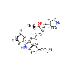 CCOC(=O)c1ccc2[nH]c(-c3cc(C)cc(C)c3)c(CCNCC(CCc3ccncc3)C(=O)OC(C)(C)C)c2c1